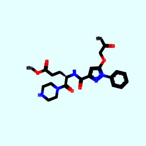 CC(C)(C)OC(=O)CC[C@H](NC(=O)c1cc(OCC(=O)C(C)(C)C)n(-c2ccccc2)n1)C(=O)N1CCNCC1